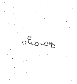 C(=Cc1ccc(C=Cc2ccc(Nc3ccccc3)cc2)cc1)C=C(c1ccccc1)c1ccccc1